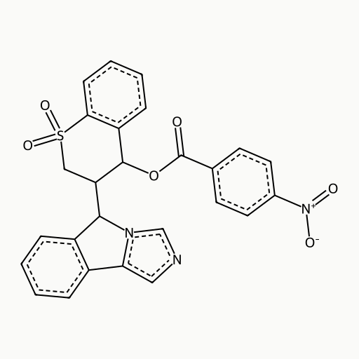 O=C(OC1c2ccccc2S(=O)(=O)CC1C1c2ccccc2-c2cncn21)c1ccc([N+](=O)[O-])cc1